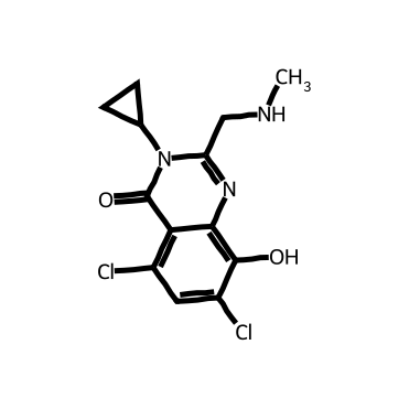 CNCc1nc2c(O)c(Cl)cc(Cl)c2c(=O)n1C1CC1